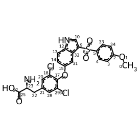 COc1ccc(S(=O)(=O)c2c[nH]c3ccc(Oc4c(Cl)cc(C[C@H](N)C(=O)O)cc4Cl)cc23)cc1